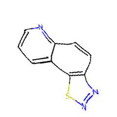 c1cnc2ccc3nnsc3c2c1